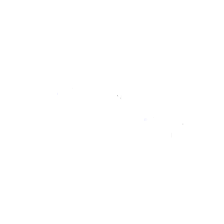 C=C(F)/C=C\C(=C/CN1CCC(O/C(C)=C/CC)C(C)C1)OCC